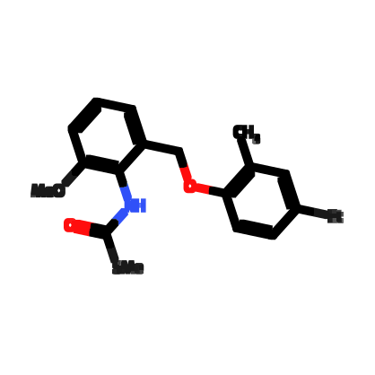 CCc1ccc(OCc2cccc(OC)c2NC(=O)SC)c(C)c1